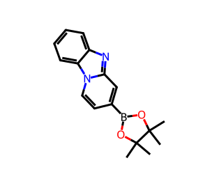 CC1(C)OB(c2ccn3c(c2)nc2ccccc23)OC1(C)C